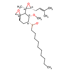 CCCCCCCCCC[S+]([O-])[C@@H]1CC[C@]2(CO2)C([C@@]2(C)O[C@@H]2CC=C(C)C)[C@@H]1OC